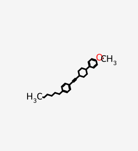 CCCCCCc1ccc(C#CC2CCC(c3ccc(OC)cc3)CC2)cc1